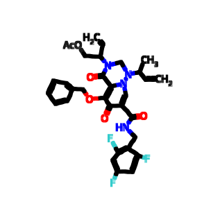 C=CC(COC(C)=O)N1CN(C(C)C=C)n2cc(C(=O)NCc3c(F)cc(F)cc3F)c(=O)c(OCc3ccccc3)c2C1=O